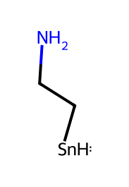 NC[CH2][SnH]